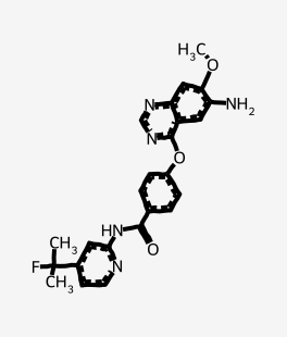 COc1cc2ncnc(Oc3ccc(C(=O)Nc4cc(C(C)(C)F)ccn4)cc3)c2cc1N